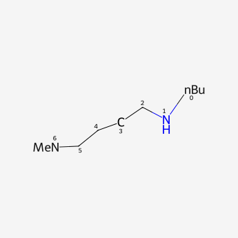 CCCCNCCCCNC